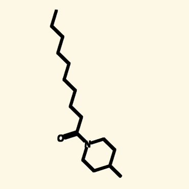 CCCCCCCCCC(=O)N1CCC(C)CC1